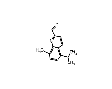 Cc1ccc(C(C)C)c2ccc(C=O)nc12